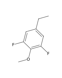 CCc1cc(F)c(OC)c(F)c1